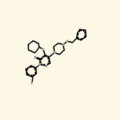 O=c1c(OC2CCCCC2)c(N2CCN(SCc3ccccc3)CC2)cnn1-c1cccc(F)c1